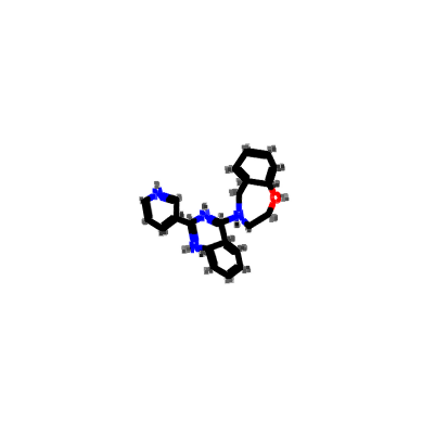 c1cncc(-c2nc(N3CCOc4ccccc4C3)c3ccccc3n2)c1